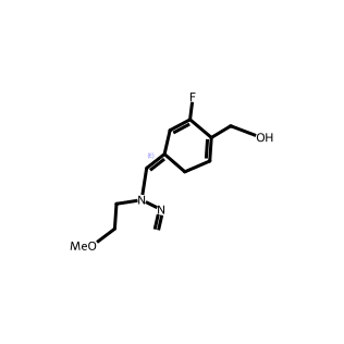 C=NN(/C=C1/C=C(F)C(CO)=CC1)CCOC